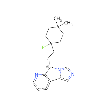 CC1(C)CCC(F)(CC[C@H]2c3ncccc3-c3cncn32)CC1